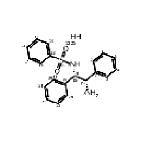 N[C@@H](c1ccccc1)[C@@H](NS(=O)(=O)c1ccccc1)c1ccccc1.[HH]